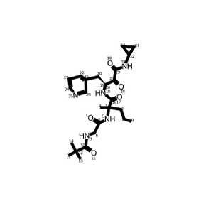 CCCC(C)(NC(=O)CNC(=O)C(C)(C)C)C(=O)N[C@@H](Cc1cccnc1)C(=O)C(=O)NC1CC1